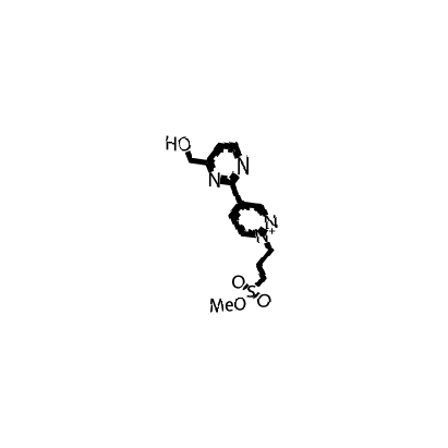 COS(=O)(=O)CCC[n+]1ccc(-c2nccc(CO)n2)cn1